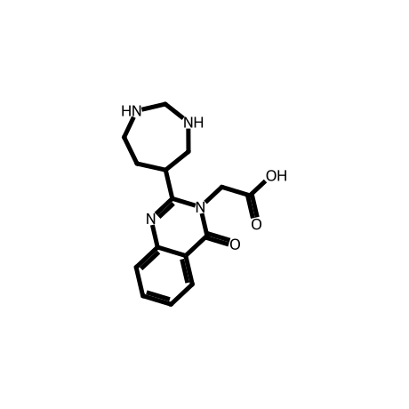 O=C(O)Cn1c(C2CCNCNC2)nc2ccccc2c1=O